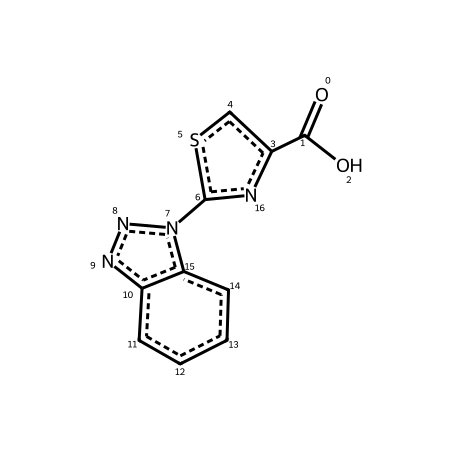 O=C(O)c1csc(-n2nnc3ccccc32)n1